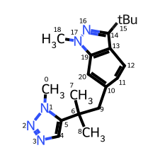 Cn1nncc1C(C)(C)Cc1ccc2c(C(C)(C)C)nn(C)c2c1